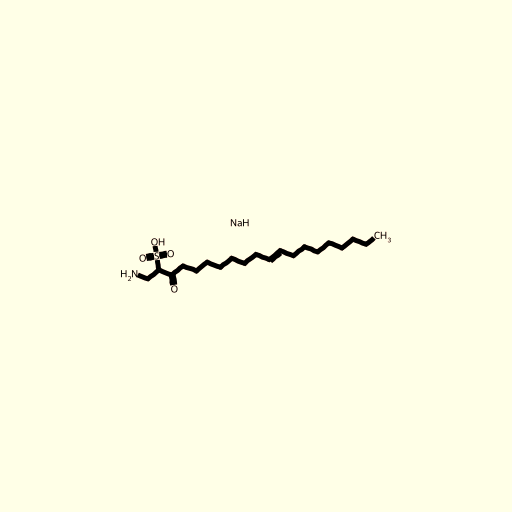 CCCCCCCCC=CCCCCCCCC(=O)C(CN)S(=O)(=O)O.[NaH]